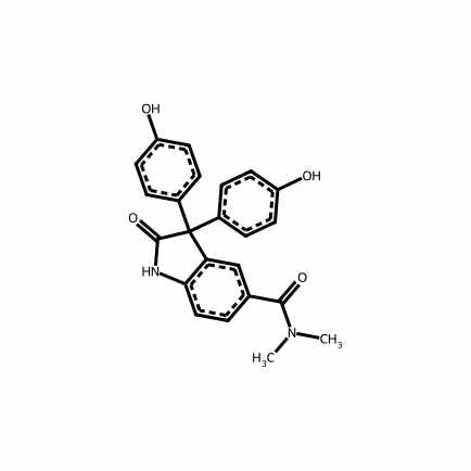 CN(C)C(=O)c1ccc2c(c1)C(c1ccc(O)cc1)(c1ccc(O)cc1)C(=O)N2